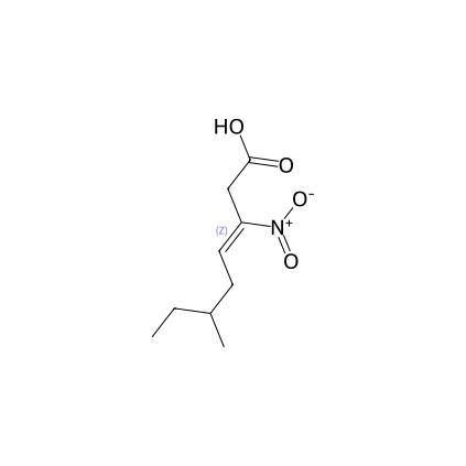 CCC(C)C/C=C(/CC(=O)O)[N+](=O)[O-]